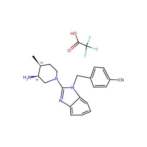 C[C@H]1CCN(c2nc3ccccc3n2Cc2ccc(C#N)cc2)C[C@H]1N.O=C(O)C(F)(F)F